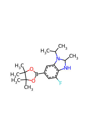 CC(C)N1c2cc(B3OC(C)(C)C(C)(C)O3)cc(F)c2NC1C